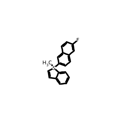 CS1(c2ccc3cc(F)ccc3c2)C=Cc2ccccc21